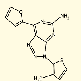 Cc1ccsc1-n1nnc2c(-c3ccco3)nc(N)nc21